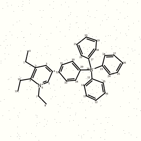 CCc1ccc[n+](CC)c1CC.c1ccc([B-](c2ccccc2)(c2ccccc2)c2ccccc2)cc1